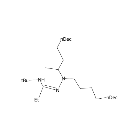 CCCCCCCCCCCCCCN(N=C(CC)NC(C)(C)C)C(C)CCCCCCCCCCCC